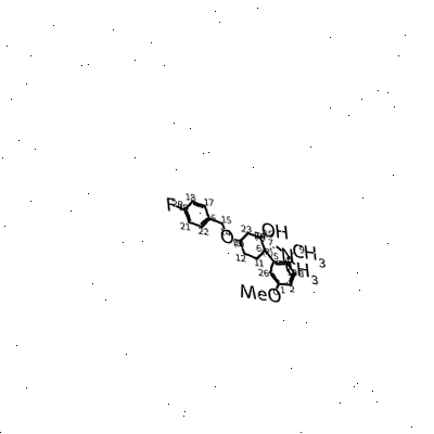 COc1cccc([C@@]2(CN(C)C)CC[C@H](OCc3ccc(F)cc3)C[C@H]2O)c1